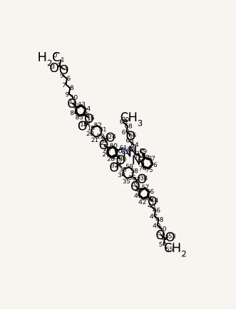 C=CC(=O)OCCCCCCOc1ccc(OC(=O)[C@H]2CC[C@H](C(=O)Oc3ccc(OC(=O)[C@H]4CC[C@H](C(=O)Oc5ccc(OCCCCCCOC(=O)C=C)cc5)CC4)c(/C=N/N(CCOCCCC)c4nc5ccccc5s4)c3)CC2)cc1